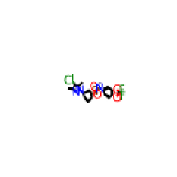 Cc1nn(-c2cccc(S(=O)(=O)N(C)c3ccc4c(c3)OC(F)(F)O4)c2)c(C)c1Cl